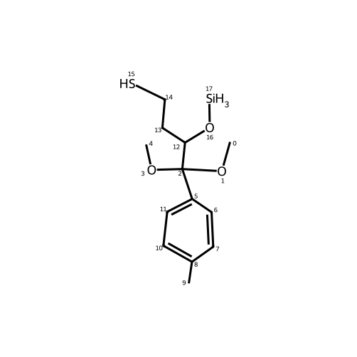 COC(OC)(c1ccc(C)cc1)C(CCS)O[SiH3]